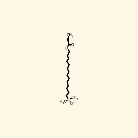 CC=CC(=O)OCCCCCCCCCCCCCC[Si](C)(C)Br